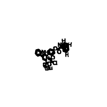 CC(C)(C)OC(=O)[C@H]1Cc2c([nH]c3ccccc23)[C@H](c2ccc(OC(=O)[C@@H](N)C34C[C@H]5C[C@@H](C3)C[C@@H](C4)C5)cc2)N1C(=O)CCl